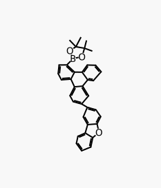 CC1(C)OB(c2cccc3c4ccc(-c5ccc6oc7ccccc7c6c5)cc4c4ccccc4c23)OC1(C)C